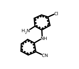 N#Cc1ccccc1Nc1cc(Cl)ccc1N